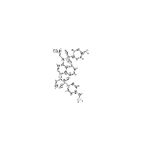 O=C(O)CN(c1ncc(N(CC(F)(F)F)S(=O)(=O)c2ccc(OC(F)(F)F)cc2)c2ccccc12)S(=O)(=O)c1ccc(Cl)cc1